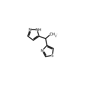 [CH2]C(c1cscn1)c1ccn[nH]1